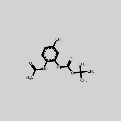 CC(=O)Nc1ccc(C)cc1NC(=O)OC(C)(C)C